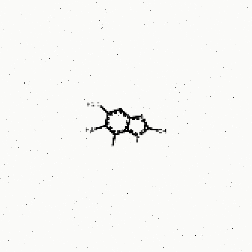 Nc1c(C(=O)O)cc2nc(O)[nH]c2c1Cl